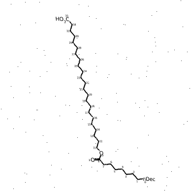 CCCCCCCCCCCCCCCCCC(=O)OCCCCCCCCCCCCCCCCCCCCCCC(=O)O